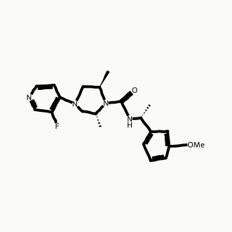 COc1cccc([C@@H](C)NC(=O)N2[C@H](C)CN(c3ccncc3F)C[C@H]2C)c1